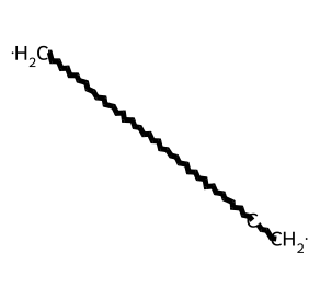 [CH2]CCCCCCCCCCCCCCCCCCCCCCCCCCCCCCCCCCCCCCCCCCCCCCCCCC[CH2]